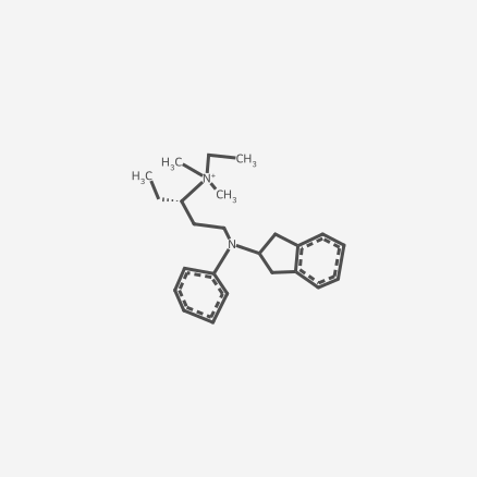 CC[C@@H](CCN(c1ccccc1)C1Cc2ccccc2C1)[N+](C)(C)CC